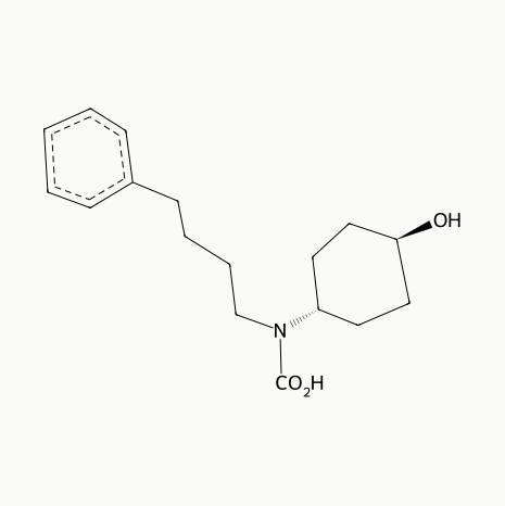 O=C(O)N(CCCCc1ccccc1)[C@H]1CC[C@H](O)CC1